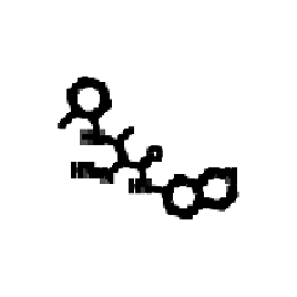 C/C(Nc1ccccc1C)=C(/N=N)C(=O)Nc1ccc2ccncc2c1